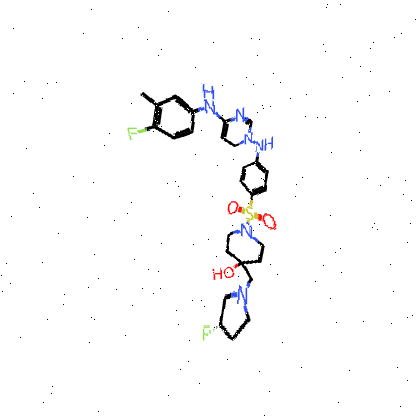 Cc1cc(NC2=CCN(Nc3ccc(S(=O)(=O)N4CCC(O)(CN5CC[C@H](F)C5)CC4)cc3)C=N2)ccc1F